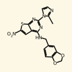 Cc1nccn1-c1nc(NCc2ccc3c(c2)OCO3)c2cc([N+](=O)[O-])sc2n1